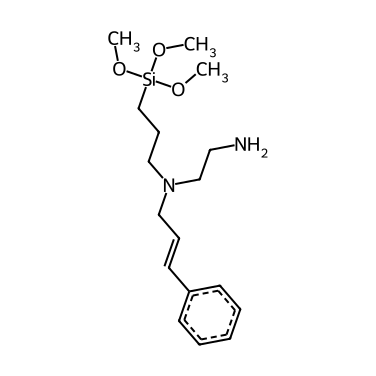 CO[Si](CCCN(CC=Cc1ccccc1)CCN)(OC)OC